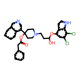 O=C(Cc1ccccc1)OC1(c2cncc3ccccc23)CCN(CCC(O)Oc2cc(Cl)c(Cl)c3[nH]ccc23)CC1